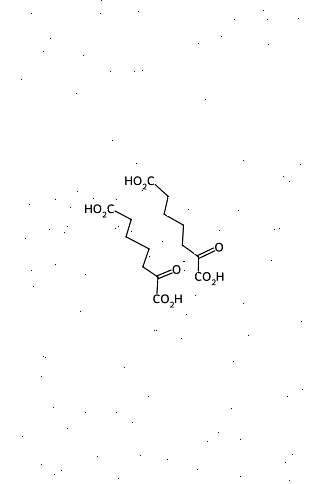 O=C(O)CCCCC(=O)C(=O)O.O=C(O)CCCCC(=O)C(=O)O